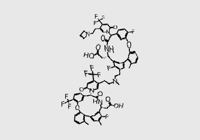 Cc1cc2cc(c1F)[C@H](CC(=O)O)NC(=O)[C@@H](n1cc(CCN(C)CCc3cc4cc(c3F)[C@H](CC(=O)O)NC(=O)[C@@H](n3cc(CCN5CCC5)c(C(F)(F)F)cc3=O)c3ccc(F)c(c3)Oc3cccc(C)c3-4)c(C(F)(F)F)cc1=O)c1ccc(C(F)(F)F)c(c1)Oc1cccc(C)c1-2